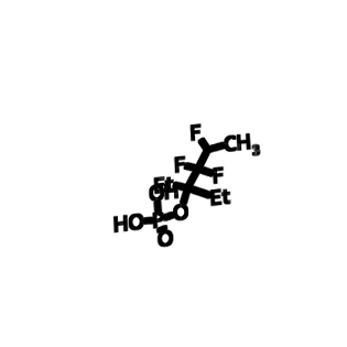 CCC(CC)(OP(=O)(O)O)C(F)(F)C(C)F